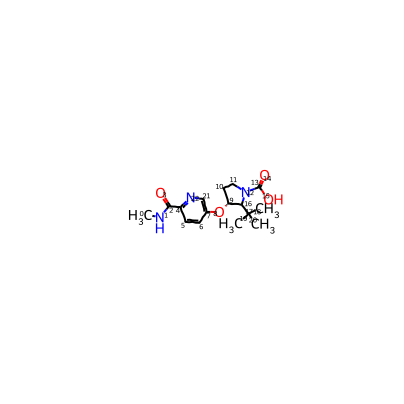 CNC(=O)c1ccc(O[C@@H]2CCN(C(=O)O)C2C(C)(C)C)cn1